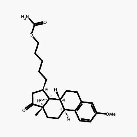 COc1ccc2c(c1)CC[C@H]1[C@@H]3[C@H](CCCCCOC(N)=O)CC(=O)[C@@]3(C)CC[C@H]21